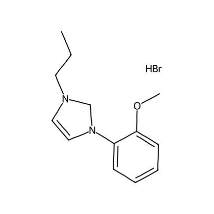 Br.CCCN1C=CN(c2ccccc2OC)C1